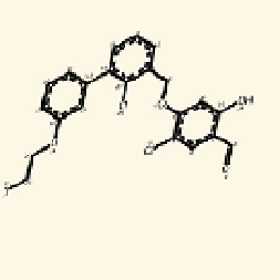 O=Cc1cc(Cl)c(OCc2cccc(-c3cccc(OCCO)c3)c2Cl)cc1O